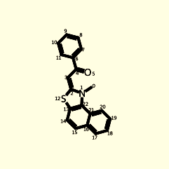 CN1C(=CC(=O)c2ccccc2)Sc2ccc3ccccc3c21